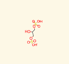 O=S(=O)(O)OCC(O)COS(=O)(=O)O